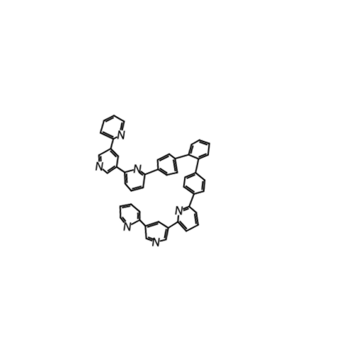 c1ccc(-c2cncc(-c3cccc(-c4ccc(-c5ccccc5-c5ccc(-c6cccc(-c7cncc(-c8ccccn8)c7)n6)cc5)cc4)n3)c2)nc1